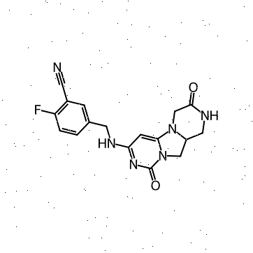 N#Cc1cc(CNc2cc3n(c(=O)n2)CC2CNC(=O)CN32)ccc1F